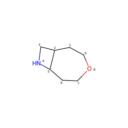 C1CC2CNC2CCO1